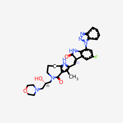 Cc1c(/C=C2\C(=O)Nc3c2cc(F)cc3-n2nnc3ccccc32)[nH]c2c1C(=O)N(C[C@@H](O)CN1CCOCC1)CCC2